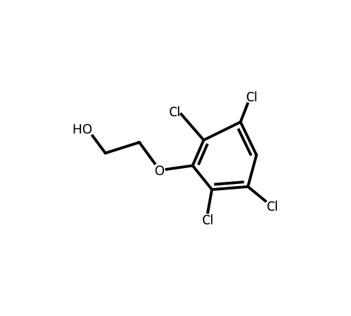 OCCOc1c(Cl)c(Cl)cc(Cl)c1Cl